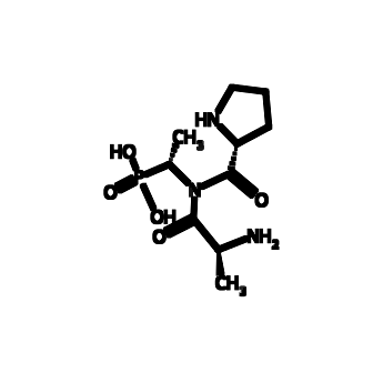 C[C@H](N)C(=O)N(C(=O)[C@H]1CCCN1)[C@@H](C)P(=O)(O)O